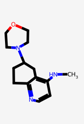 CNc1ccnc2c1CC(N1CCOCC1)CC2